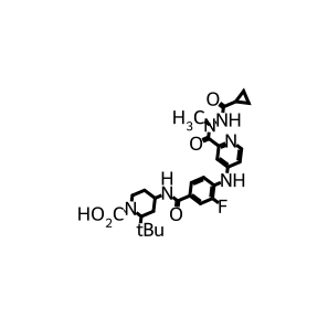 CN(NC(=O)C1CC1)C(=O)c1cc(Nc2ccc(C(=O)NC3CCN(C(=O)O)C(C(C)(C)C)C3)cc2F)ccn1